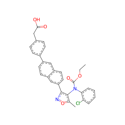 CCOC(=O)N(c1ccccc1Cl)c1c(-c2ccc3cc(-c4ccc(CC(=O)O)cc4)ccc3c2)noc1C